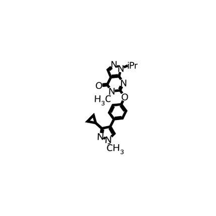 CC(C)n1ncc2c(=O)n(C)c(Oc3ccc(-c4cn(C)nc4C4CC4)cc3)nc21